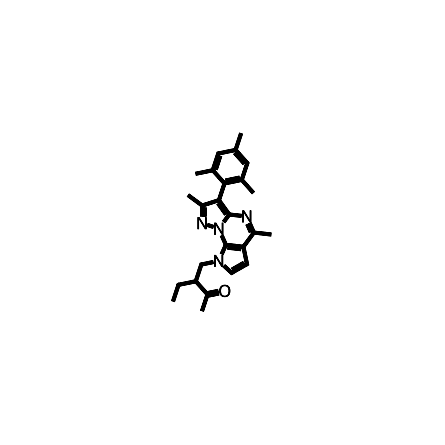 CCC(Cn1ccc2c(C)nc3c(-c4c(C)cc(C)cc4C)c(C)nn3c21)C(C)=O